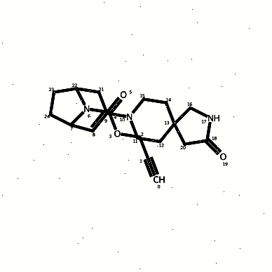 C#CCOC(=O)N1C2C=C(N3CCC4(CC3)CNC(=O)C4)CC1CC2